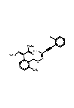 CO/N=C(/C(=O)OC)c1cccc(C)c1CO/N=C(\C)C#Cc1ccccc1I